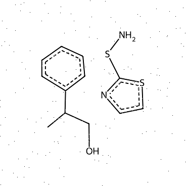 CC(CO)c1ccccc1.NSc1nccs1